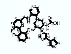 C[C@H]1CN(c2ccncc2NCc2ccc(F)c(-c3c(F)cccc3F)n2)C[C@@H](NC(=O)O)[C@H]1n1cc(-c2ccsc2)nn1